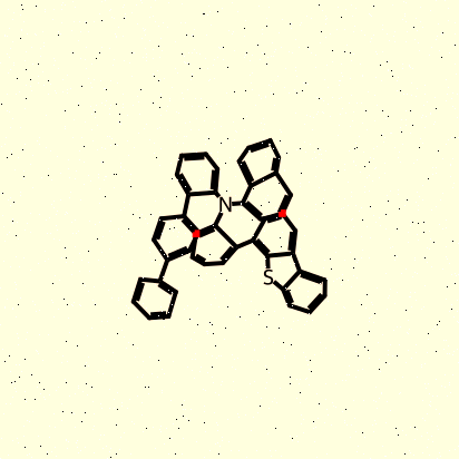 c1ccc(-c2ccc(-c3ccccc3N(c3ccccc3-c3cccc4c3sc3ccccc34)c3cccc4ccccc34)cc2)cc1